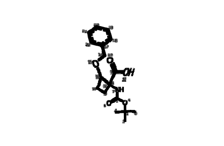 CC(C)(C)OC(=O)N[C@@]1(C(=O)O)CCC1OCc1ccccc1